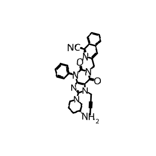 CC#CCn1c(N2CCC[C@@H](N)C2)nc2c1c(=O)n(Cc1cc3ccccc3c(C#N)n1)c(=O)n2-c1ccccc1